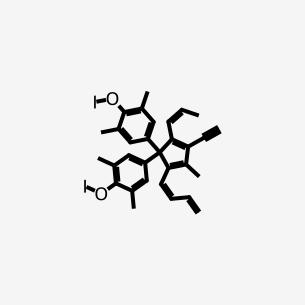 C#CC1=C(/C=C\C)C(c2cc(C)c(OI)c(C)c2)(c2cc(C)c(OI)c(C)c2)C(/C=C\C=C)=C1C